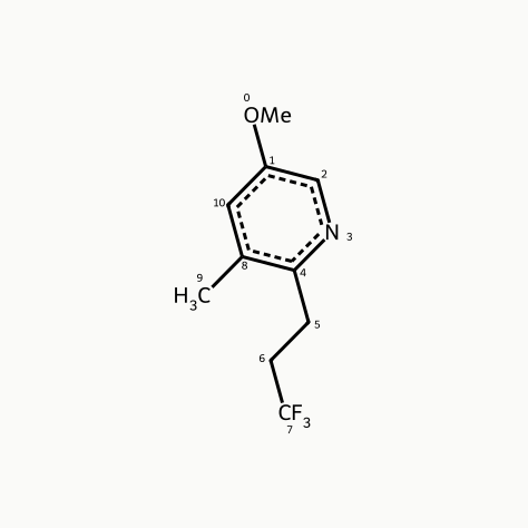 COc1cnc(CCC(F)(F)F)c(C)c1